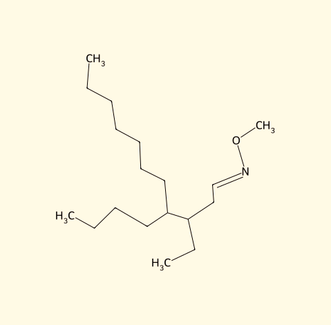 CCCCCCCC(CCCC)C(CC)C/C=N/OC